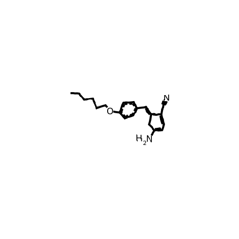 CCCCCCOc1ccc(C=C2CC(N)=CC=C2C#N)cc1